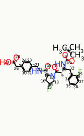 CC(C)(C)OC(=O)N[C@@H](CC(=O)N1C[C@@H](F)C[C@@H]1C(=O)NCc1ccc(CC(=O)O)cc1)Cc1ccccc1F